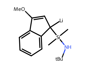 [Li][C]1([Si](C)(C)NC(C)(C)C)C=C(OC)c2ccccc21